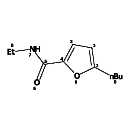 CCCCc1ccc(C(=O)NCC)o1